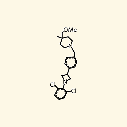 COCC1(C)CCN(Cc2ccc(C3CN(c4c(Cl)cccc4Cl)C3)cc2)CC1